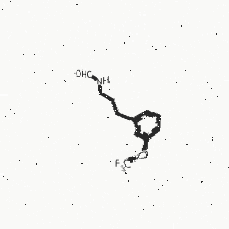 O=[C]NCCCc1cccc(OC(F)(F)F)c1